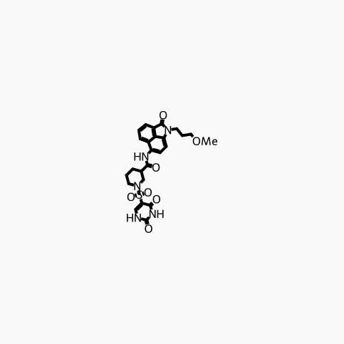 COCCCN1C(=O)c2cccc3c(NC(=O)C4CCCN(S(=O)(=O)c5c[nH]c(=O)[nH]c5=O)C4)ccc1c23